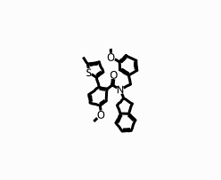 COc1cccc(CN(C(=O)c2cc(OC)ccc2-c2ccc(C)s2)C2Cc3ccccc3C2)c1